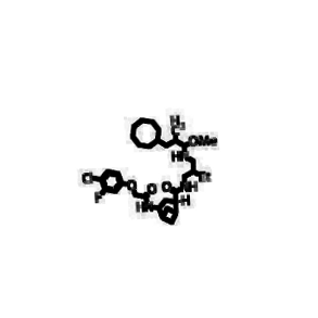 CCC(CNC(=O)[C@@H]1CC(NC(=O)COc2ccc(Cl)c(F)c2)C2CC1C2)CNC(OC)C(C)CC1CCCCCCC1